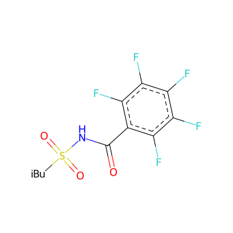 CCC(C)S(=O)(=O)NC(=O)c1c(F)c(F)c(F)c(F)c1F